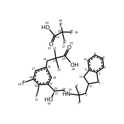 CC(C)(CC1Cc2ccccc2C1)NC[C@@H](O)c1cc(CC(C)(C)C(=O)O)cc(F)c1F.O=C(O)C(F)(F)F